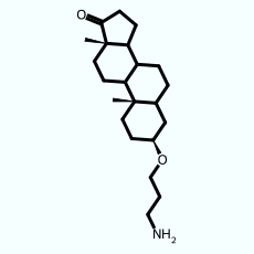 C[C@]12CC[C@H](OCCCN)CC1CCC1C2CC[C@]2(C)C(=O)CCC12